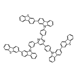 c1cc(-c2cc(-c3ccc(-n4c5ccccc5c5ccc(-c6ccc7c(c6)sc6ccccc67)cc54)cc3)nc(-c3ccc(-n4c5ccccc5c5ccc(-c6ccc7c(c6)sc6ccccc67)cc54)cc3)n2)cc(-n2c3ccccc3c3ccc(-c4ccc5c(c4)sc4ccccc45)cc32)c1